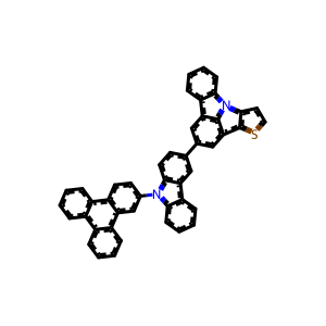 c1ccc2c(c1)c1ccccc1c1cc(-n3c4ccccc4c4cc(-c5cc6c7ccccc7n7c8ccsc8c(c5)c67)ccc43)ccc21